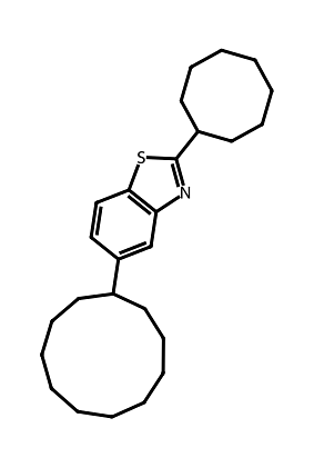 c1cc2sc(C3CCCCCCC3)nc2cc1C1CCCCCCCCCC1